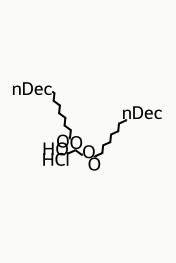 CCCCCCCCCCCCCCCCCC(=O)OCC(CO)OC(=O)CCCCCCCCCCCCCCCCC.Cl